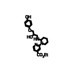 CCOC(=O)c1ccnc(N2CCCCC2NCC(O)COc2ccc(O)cc2)c1